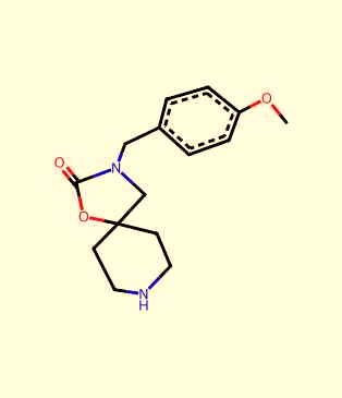 COc1ccc(CN2CC3(CCNCC3)OC2=O)cc1